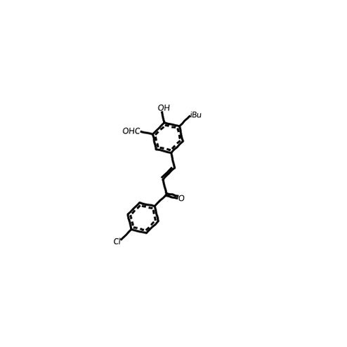 CCC(C)c1cc(C=CC(=O)c2ccc(Cl)cc2)cc(C=O)c1O